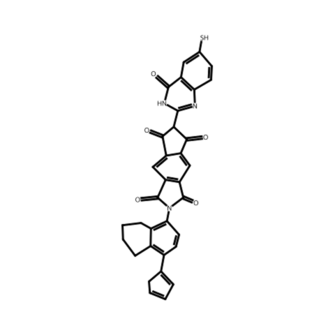 O=C1c2cc3c(cc2C(=O)C1c1nc2ccc(S)cc2c(=O)[nH]1)C(=O)N(c1ccc(C2=CC=CC2)c2c1CCCC2)C3=O